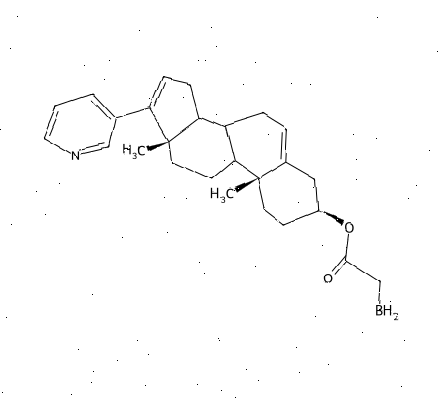 BCC(=O)O[C@H]1CC[C@@]2(C)C(=CCC3C2CC[C@]2(C)C(c4cccnc4)=CCC32)C1